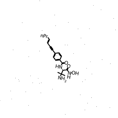 CCC/C=C/C#Cc1ccc(C(=O)N[C@H](C(=O)NO)C(C)(C)N)cc1